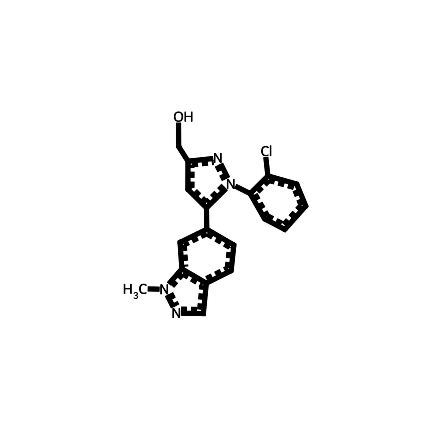 Cn1ncc2ccc(-c3cc(CO)nn3-c3ccccc3Cl)cc21